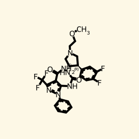 COCCN1C[C@@H](NC(=O)Nc2c(C(N)=O)c(C(F)(F)F)nn2-c2ccccc2)[C@H](c2ccc(F)c(F)c2)C1